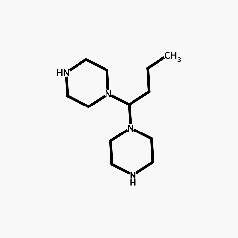 CCCC(N1CCNCC1)N1CCNCC1